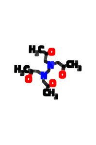 CC(=O)CN(CC(C)=O)CN(CC(C)=O)CC(C)=O